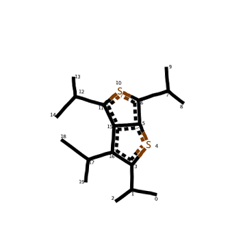 CC(C)c1sc2c(C(C)C)sc(C(C)C)c2c1C(C)C